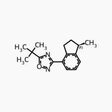 C[C@@H]1CCc2c(-c3noc(C(C)(C)C)n3)cccc21